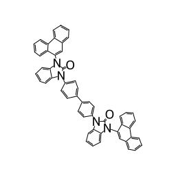 O=c1n(-c2ccc(-c3ccc(-n4c(=O)n(-c5cc6ccccc6c6ccccc56)c5ccccc54)cc3)cc2)c2ccccc2n1-c1cc2ccccc2c2ccccc12